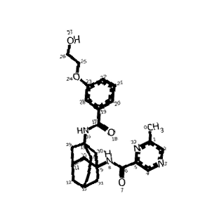 Cc1cncc(C(=O)NC23CC4CC(CC(NC(=O)c5cccc(OCCO)c5)(C4)C2)C3)n1